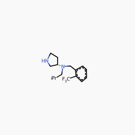 CC(C)CN(Cc1ccccc1C(F)(F)F)[C@H]1CCNC1